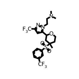 CN(C)CCn1nc(C(F)(F)F)cc1C1CC(C)(S(=O)(=O)c2cccc(C(F)(F)F)c2)CCO1